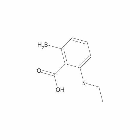 Bc1cccc(SCC)c1C(=O)O